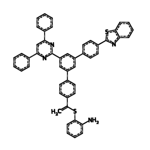 C=C(Sc1ccccc1N)c1ccc(-c2cc(-c3ccc(-c4nc5ccccc5s4)cc3)cc(-c3nc(-c4ccccc4)cc(-c4ccccc4)n3)c2)cc1